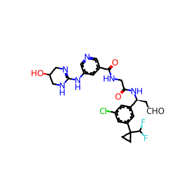 O=CC[C@H](NC(=O)CNC(=O)c1cncc(NC2=NCC(O)CN2)c1)c1cc(Cl)cc(C2(C(F)F)CC2)c1